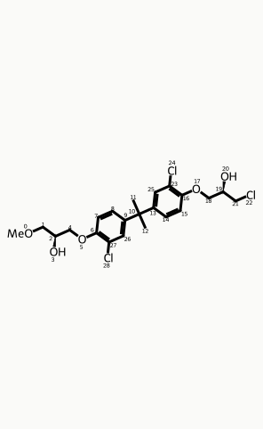 COC[C@H](O)COc1ccc(C(C)(C)c2ccc(OC[C@@H](O)CCl)c(Cl)c2)cc1Cl